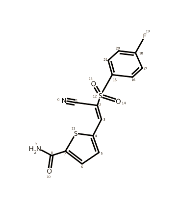 N#C/C(=C\c1ccc(C(N)=O)s1)S(=O)(=O)c1ccc(F)cc1